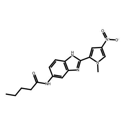 CCCCC(=O)Nc1ccc2[nH]c(-c3cc([N+](=O)[O-])cn3C)nc2c1